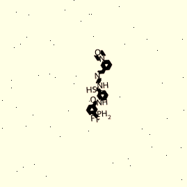 O=C(Nc1cccc(C(S)N/C=C/N=C\Cc2cccc(N3CCOCC3)c2)c1)c1cccc(C(F)(F)P)c1